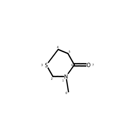 CN1CSCCC1=O